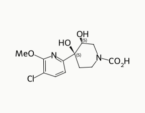 COc1nc([C@@]2(O)CCN(C(=O)O)C[C@@H]2O)ccc1Cl